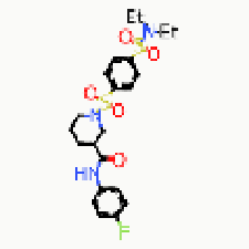 CCN(CC)S(=O)(=O)c1ccc(S(=O)(=O)N2CCCC(C(=O)Nc3ccc(F)cc3)C2)cc1